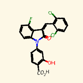 O=C(O)c1ccc(N2C(=O)/C(=C\c3c(Cl)cccc3Cl)c3c(F)cccc32)cc1O